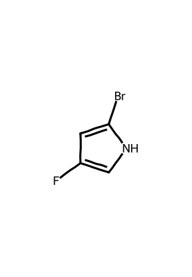 Fc1c[nH]c(Br)c1